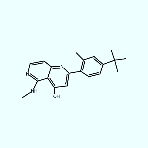 CNc1nccc2nc(-c3ccc(C(C)(C)C)cc3C)cc(O)c12